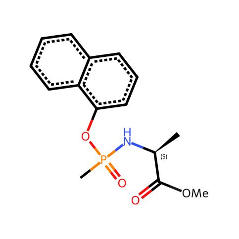 COC(=O)[C@H](C)NP(C)(=O)Oc1cccc2ccccc12